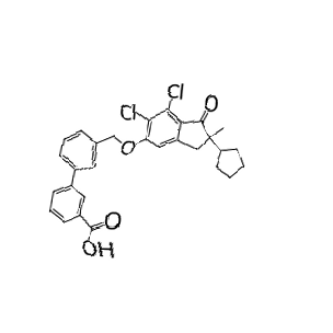 CC1(C2CCCC2)Cc2cc(OCc3cccc(-c4cccc(C(=O)O)c4)c3)c(Cl)c(Cl)c2C1=O